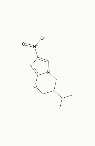 CC(C)C1COc2nc([N+](=O)[O-])cn2C1